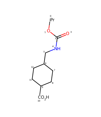 CC(C)OC(=O)NCC1CCC(C(=O)O)CC1